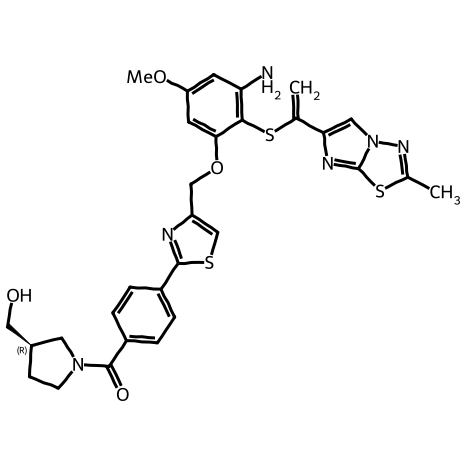 C=C(Sc1c(N)cc(OC)cc1OCc1csc(-c2ccc(C(=O)N3CC[C@@H](CO)C3)cc2)n1)c1cn2nc(C)sc2n1